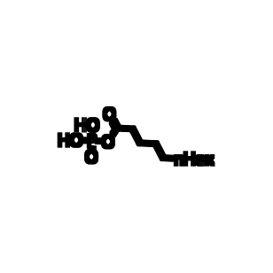 CCCCCCCCCCC(=O)OP(=O)(O)O